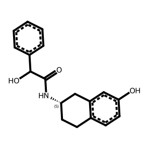 O=C(N[C@H]1CCc2ccc(O)cc2C1)C(O)c1ccccc1